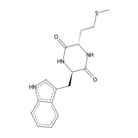 CSCC[C@@H]1NC(=O)[C@@H](Cc2c[nH]c3ccccc23)NC1=O